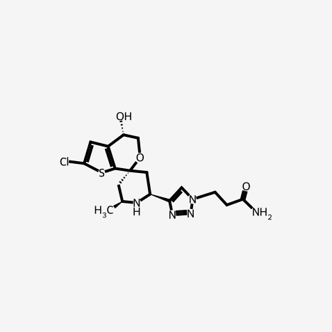 C[C@H]1C[C@@]2(C[C@@H](c3cn(CCC(N)=O)nn3)N1)OC[C@@H](O)c1cc(Cl)sc12